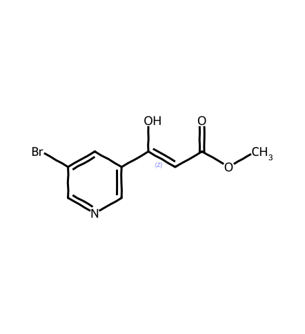 COC(=O)/C=C(\O)c1cncc(Br)c1